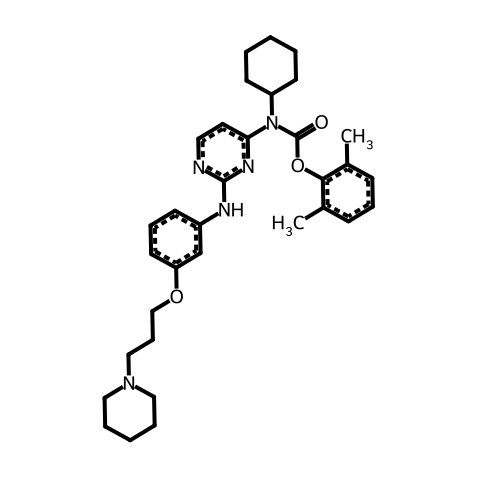 Cc1cccc(C)c1OC(=O)N(c1ccnc(Nc2cccc(OCCCN3CCCCC3)c2)n1)C1CCCCC1